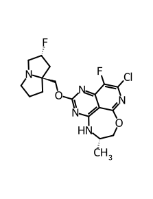 C[C@H]1COc2nc(Cl)c(F)c3nc(OC[C@@]45CCCN4C[C@H](F)C5)nc(c23)N1